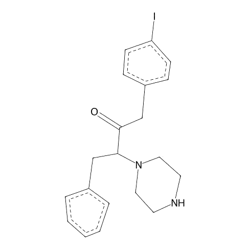 O=C(Cc1ccc(I)cc1)C(Cc1ccccc1)N1CCNCC1